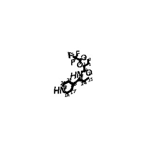 CCC(OC(=O)C(F)(F)F)C(=O)NC(CC)C1CCNCC1